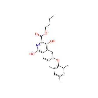 CCCCOC(=O)c1nc(O)c2ccc(Oc3c(C)cc(C)cc3C)cc2c1O